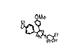 CCOc1ccc(-c2nnc(N(CC(O)CC)C(C)C)nc2-c2ccc(OC)cc2)cc1